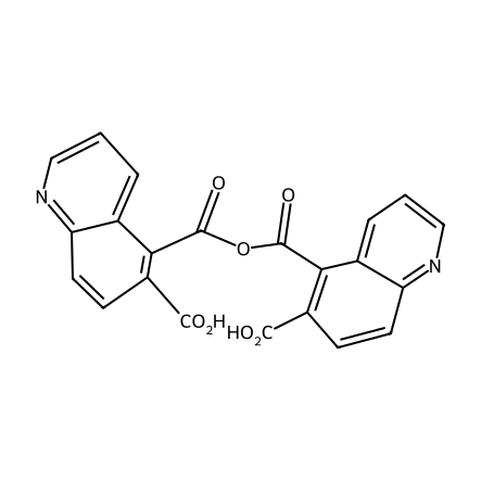 O=C(O)c1ccc2ncccc2c1C(=O)OC(=O)c1c(C(=O)O)ccc2ncccc12